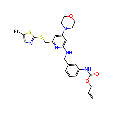 C=CCOC(=O)Nc1cccc(CNc2cc(N3CCOCC3)cc(CSc3ncc(CC)s3)n2)c1